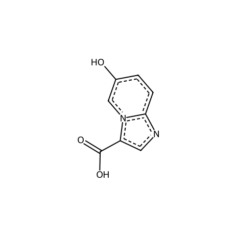 O=C(O)c1cnc2ccc(O)cn12